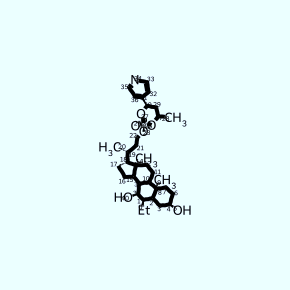 CC[C@@H]1C2C[C@H](O)CC[C@]2(C)C2CC[C@@]3(C)C(CC[C@@H]3[C@H](C)CCO[P@]3(=O)OC(C)C[C@H](c4ccncc4)O3)C2[C@@H]1O